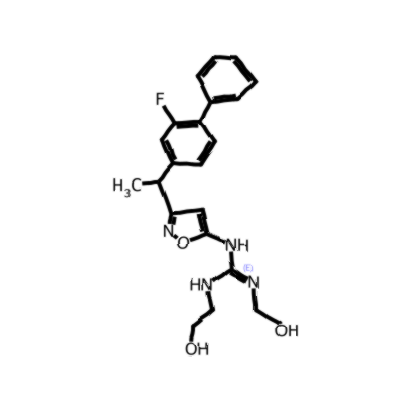 CC(c1ccc(-c2ccccc2)c(F)c1)c1cc(N/C(=N/CCO)NCCO)on1